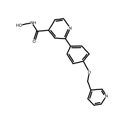 O=C(NO)c1ccnc(-c2ccc(OCc3cccnc3)cc2)c1